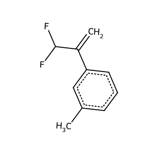 C=C(c1cccc(C)c1)C(F)F